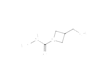 CCC1CN(C(=O)NC)C1